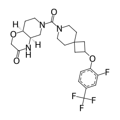 O=C1CO[C@H]2CCN(C(=O)N3CCC4(CC3)CC(Oc3ccc(C(F)(F)F)cc3F)C4)C[C@H]2N1